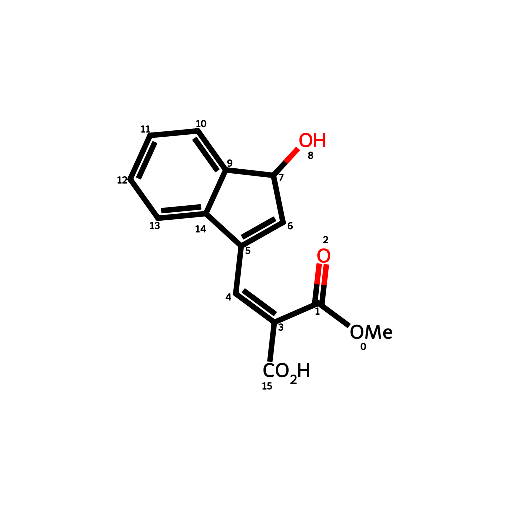 COC(=O)/C(=C\C1=CC(O)c2ccccc21)C(=O)O